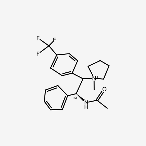 CC(=O)N[C@@H](c1ccccc1)C(c1ccc(C(F)(F)F)cc1)[N+]1(C)CCCC1